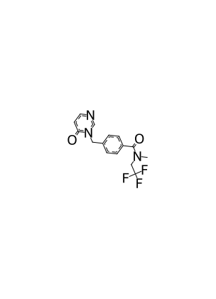 CN(CC(F)(F)F)C(=O)c1ccc(Cn2cnccc2=O)cc1